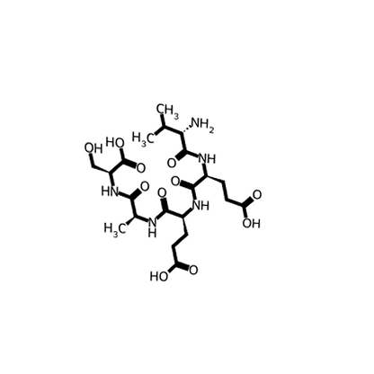 CC(C)[C@H](N)C(=O)N[C@@H](CCC(=O)O)C(=O)N[C@@H](CCC(=O)O)C(=O)N[C@@H](C)C(=O)N[C@@H](CO)C(=O)O